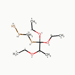 CCOC(C)C(OCC)(OCC)S[SiH2]SS